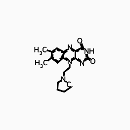 Cc1cc2nc3c(=O)[nH]c(=O)nc-3n(CCN3CCCCC3)c2cc1C